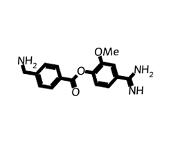 COc1cc(C(=N)N)ccc1OC(=O)c1ccc(CN)cc1